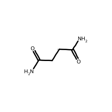 NC(=O)[CH]CC(N)=O